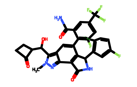 Cn1nc2c3c(c(-c4c(F)cc(C(F)(F)F)cc4C(N)=O)cc2c1C(O)C1CCC1=O)C(c1cc(F)ccc1Cl)NC3=O